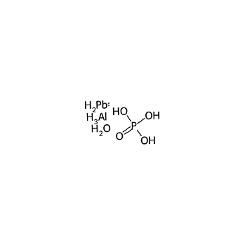 O.O=P(O)(O)O.[AlH3].[PbH2]